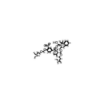 CC(C)CN(C[C@@H](OCOCC[Si](C)(C)C)[C@H](Cc1ccccc1)N(C(=O)O)C(C)(C)C)S(=O)(=O)c1ccc(OCOCC[Si](C)(C)C)c([N+](=O)[O-])c1